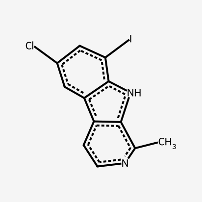 Cc1nccc2c1[nH]c1c(I)cc(Cl)cc12